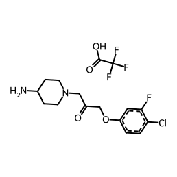 NC1CCN(CC(=O)COc2ccc(Cl)c(F)c2)CC1.O=C(O)C(F)(F)F